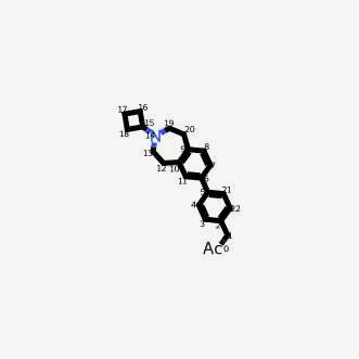 CC(=O)Cc1ccc(-c2ccc3c(c2)CCN(C2CCC2)CC3)cc1